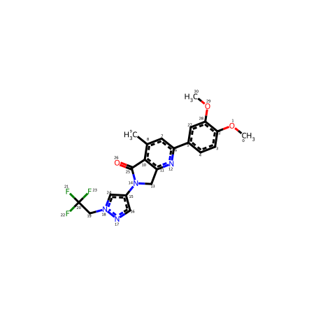 COc1ccc(-c2cc(C)c3c(n2)CN(c2cnn(CC(F)(F)F)c2)C3=O)cc1OC